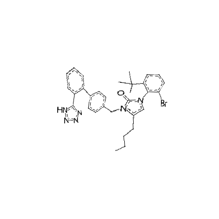 CCCCc1cn(-c2c(Br)cccc2C(C)(C)C)c(=O)n1Cc1ccc(-c2ccccc2-c2nnn[nH]2)cc1